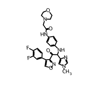 Cn1cnc(C(Nc2ccc(NC(=O)CN3CCOCC3)cc2)C(=O)c2nocc2-c2ccc(F)c(F)c2)c1